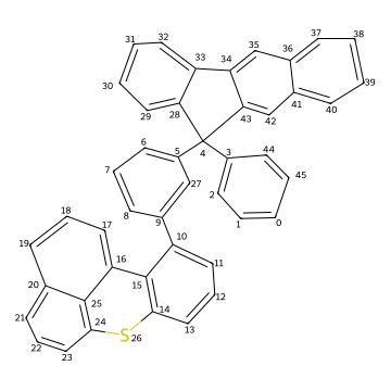 c1ccc(C2(c3cccc(-c4cccc5c4-c4cccc6cccc(c46)S5)c3)c3ccccc3-c3cc4ccccc4cc32)cc1